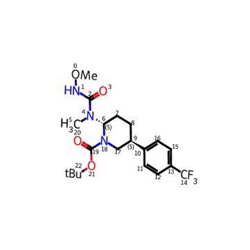 CONC(=O)N(C)[C@@H]1CC[C@@H](c2ccc(C(F)(F)F)cc2)CN1C(=O)OC(C)(C)C